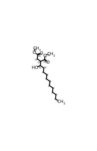 CCCCCCCCCCCC(O)C(CC(=O)OC)C(=O)OC